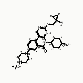 CCC1(CNc2ncc3c4ccc(N5CCN(C)CC5)cc4c(=O)n(C4CCC(O)CC4)c3n2)CC1